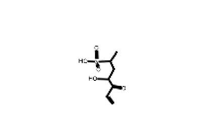 C=CC(=O)C(O)CC(C)S(=O)(=O)O